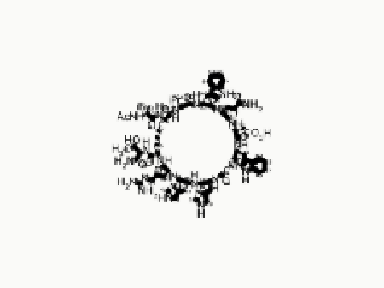 CC[C@H](C)[C@H](NC(C)=O)C(=O)N[C@H]1CSSC[C@@H](C(=O)N[C@H](C(N)=O)[C@@H](C)O)NC(=O)[C@H](CCCN=C(N)N)NC(=O)[C@@H](Cc2c[nH]cn2)NC(=O)[C@H](Cc2c[nH]cn2)NC(=O)CNC(=O)[C@H](Cc2c[nH]c3ccccc23)NC(=O)[C@@H](CC(=O)O)NC(=O)[C@H](CCC(N)=O)NC(=O)[C@@H](Cc2c[nH]c3ccccc23)NC(=O)[C@H](C(C)C)NC1=O